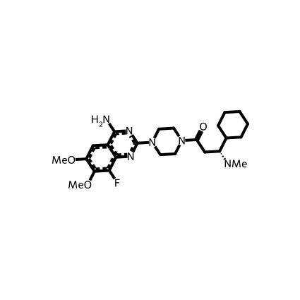 CN[C@H](CC(=O)N1CCN(c2nc(N)c3cc(OC)c(OC)c(F)c3n2)CC1)C1CCCCC1